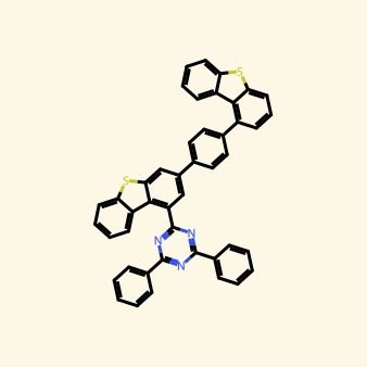 c1ccc(-c2nc(-c3ccccc3)nc(-c3cc(-c4ccc(-c5cccc6sc7ccccc7c56)cc4)cc4sc5ccccc5c34)n2)cc1